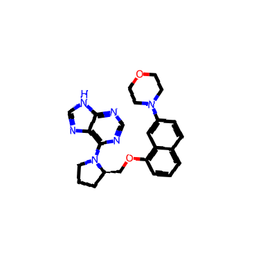 c1cc(OC[C@H]2CCCN2c2ncnc3[nH]cnc23)c2cc(N3CCOCC3)ccc2c1